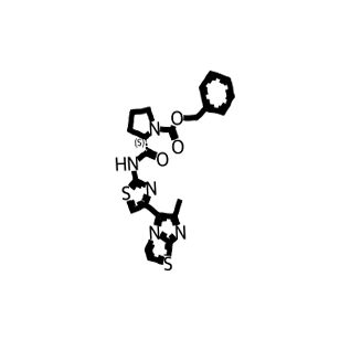 Cc1nc2sccn2c1-c1csc(NC(=O)[C@@H]2CCCN2C(=O)OCc2ccccc2)n1